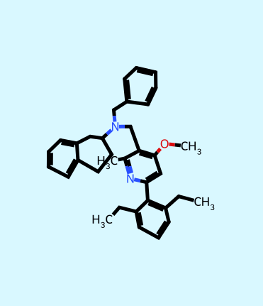 CCc1cccc(CC)c1-c1cc(OC)c(CN(Cc2ccccc2)C2CCc3ccccc3C2)c(C)n1